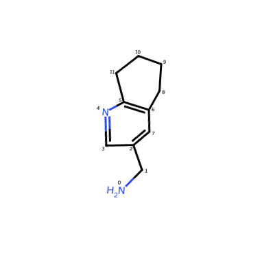 NCc1cnc2c(c1)CCCC2